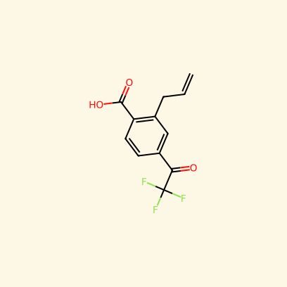 C=CCc1cc(C(=O)C(F)(F)F)ccc1C(=O)O